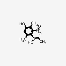 CCN(O)c1c(C)cc(O)c(C)c1[N+](=O)[O-]